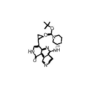 CC(C)(C)OC(=O)N1CCC[C@H](Nc2nc3c(C4CC4)c[nH]c(=O)c3c3cnccc23)C1